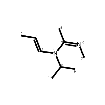 C/C=C/N(/C(C)=N\C)C(C)C